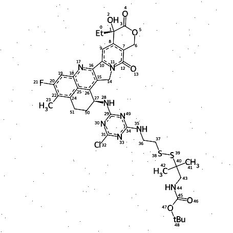 CC[C@@]1(O)C(=O)OCc2c1cc1n(c2=O)Cc2c-1nc1cc(F)c(C)c3c1c2[C@@H](Nc1nc(Cl)nc(NCCSSC(C)(C)CNC(=O)OC(C)(C)C)n1)CC3